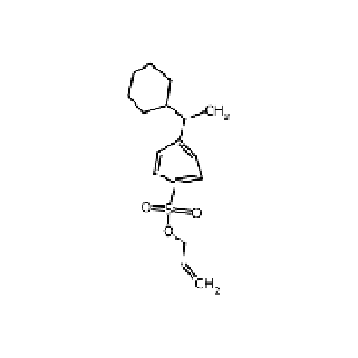 C=CCOS(=O)(=O)c1ccc(C(C)C2CCCCC2)cc1